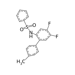 Cc1ccc(-c2cc(F)c(F)cc2NS(=O)(=O)c2ccccc2)cc1